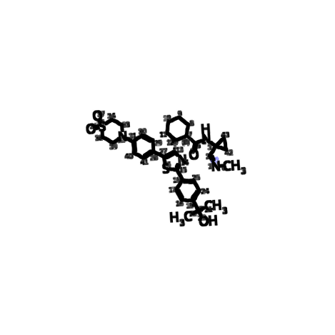 C/N=C\C1(NC(=O)[C@@H]2CCCC[C@H]2c2nc(-c3ccc(C(C)(C)O)cc3)sc2-c2ccc(N3CCS(=O)(=O)CC3)cc2)CC1